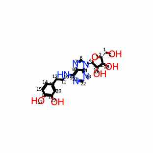 OC[C@H]1O[C@@H](n2cnc3c(NCCc4ccc(O)c(O)c4)ncnc32)[C@H](O)[C@@H]1O